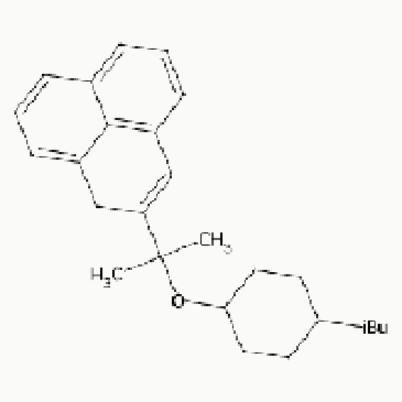 CCC(C)C1CCC(OC(C)(C)C2=Cc3cccc4cccc(c34)C2)CC1